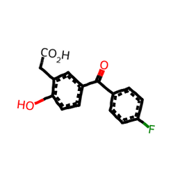 O=C(O)Cc1cc(C(=O)c2ccc(F)cc2)ccc1O